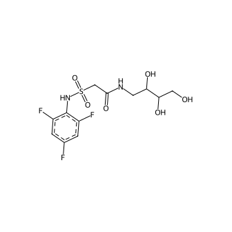 O=C(CS(=O)(=O)Nc1c(F)cc(F)cc1F)NCC(O)C(O)CO